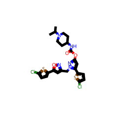 CC(C)N1CCC(NC(=O)Oc2cc(-c3ccc(Cl)s3)n(Cc3cc(-c4ccc(Cl)s4)on3)n2)CC1